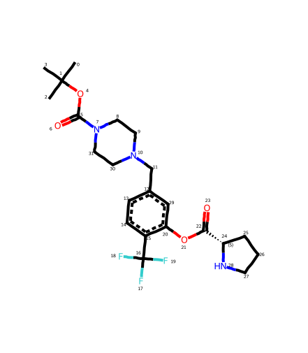 CC(C)(C)OC(=O)N1CCN(Cc2ccc(C(F)(F)F)c(OC(=O)[C@@H]3CCCN3)c2)CC1